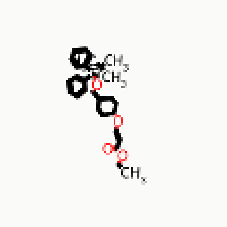 CCOC(=O)/C=C/OC1CCC(CO[Si](c2ccccc2)(c2ccccc2)C(C)(C)C)CC1